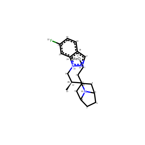 COCCC1CC2CCC(C1)N2C[C@@H](C)Cn1ncc2ccc(F)cc21